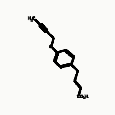 CC#CCOc1ccc(CCCC(=O)O)cc1